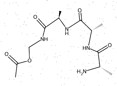 CC(=O)OCNC(=O)[C@@H](C)NC(=O)[C@H](C)NC(=O)[C@H](C)N